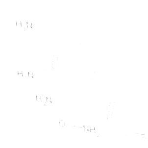 NON.Nc1ccc(-c2ccccc2)cc1N